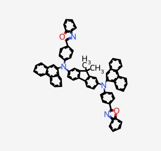 CC1(C)c2cc(N(c3ccc(-c4nc5ccccc5o4)cc3)c3cc4ccccc4c4ccccc34)ccc2-c2ccc(N(c3ccc(-c4nc5ccccc5o4)cc3)c3cc4ccccc4c4ccccc34)cc21